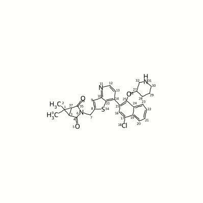 CC1(C)C2C(=O)N(Cc3cc4nccc(-c5cc(Cl)c6ccccc6c5OC5CCCNC5)c4s3)C(=O)C21